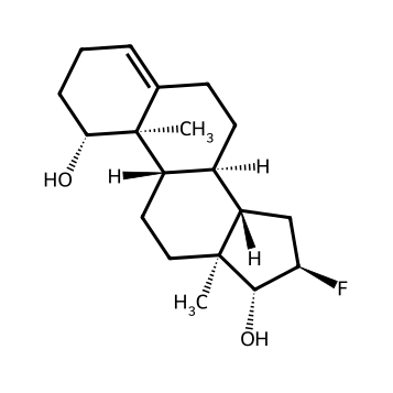 C[C@]12CC[C@H]3[C@@H](CCC4=CCC[C@@H](O)[C@@]43C)[C@@H]1C[C@@H](F)[C@@H]2O